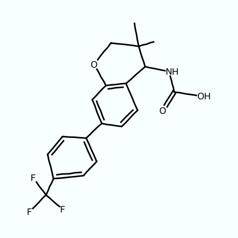 CC1(C)COc2cc(-c3ccc(C(F)(F)F)cc3)ccc2C1NC(=O)O